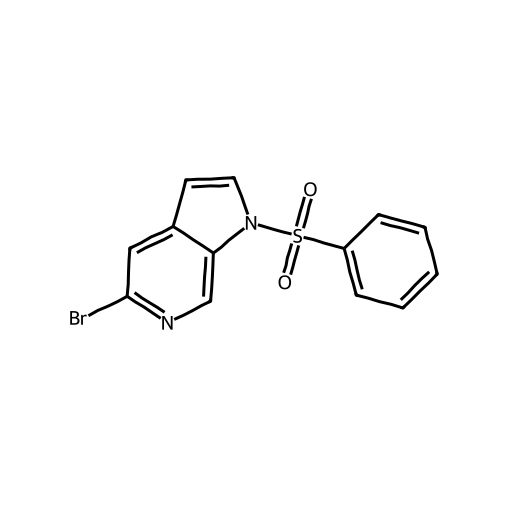 O=S(=O)(c1ccccc1)n1ccc2cc(Br)ncc21